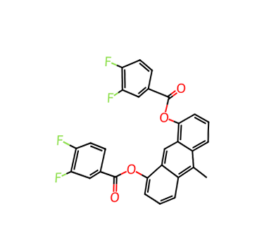 Cc1c2cccc(OC(=O)c3ccc(F)c(F)c3)c2cc2c(OC(=O)c3ccc(F)c(F)c3)cccc12